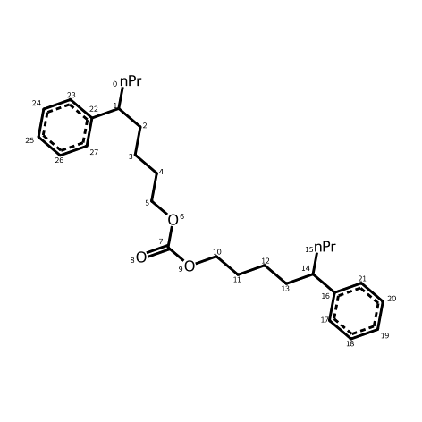 CCCC(CCCCOC(=O)OCCCCC(CCC)c1ccccc1)c1ccccc1